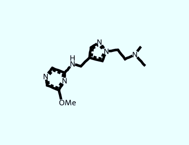 COc1cncc(NCc2cnn(CCN(C)C)c2)n1